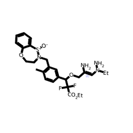 CCOC(=O)C(F)(F)C(OC/C(N)=C/N(N)CC)c1ccc(C)c(CN2CCOc3ccccc3[S+]2[O-])c1